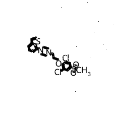 CS(=O)(=O)c1cc(Cl)c(OCCCN2CCN(c3cccc4ccsc34)CC2)c(Cl)c1